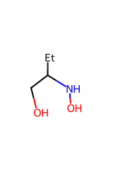 CCC(CO)NO